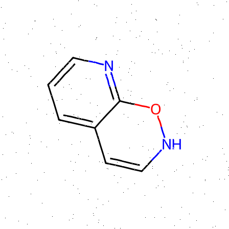 C1=Cc2cccnc2ON1